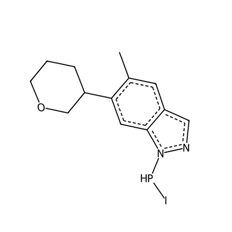 Cc1cc2cnn(PI)c2cc1C1CCCOC1